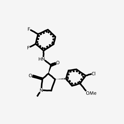 COc1cc([C@@H]2CN(C)C(=O)[C@H]2C(=O)Nc2cccc(F)c2F)ccc1Cl